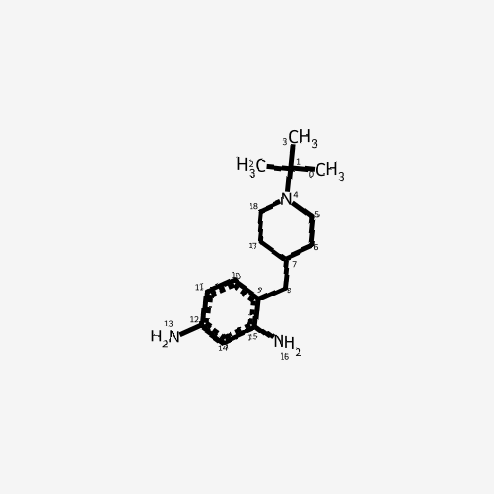 CC(C)(C)N1CCC(Cc2ccc(N)cc2N)CC1